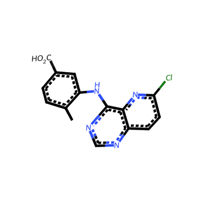 Cc1ccc(C(=O)O)cc1Nc1ncnc2ccc(Cl)nc12